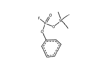 C[Si](C)(C)OP(=O)(F)Oc1ccccc1